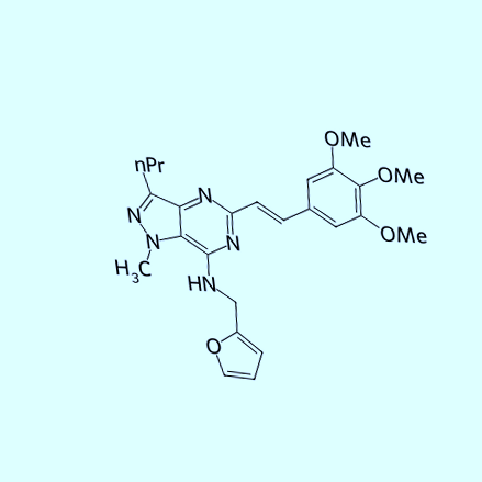 CCCc1nn(C)c2c(NCc3ccco3)nc(C=Cc3cc(OC)c(OC)c(OC)c3)nc12